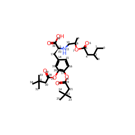 CCC(C)CC(=O)OC(C)CN[C@@H](Cc1ccc(OC(=O)CC(C)(C)C)c(OC(=O)CC(C)(C)C)c1)C(=O)O